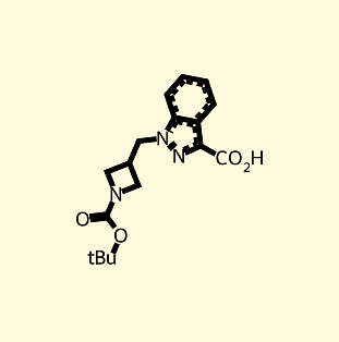 CC(C)(C)OC(=O)N1CC(Cn2nc(C(=O)O)c3ccccc32)C1